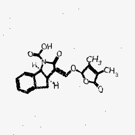 CC1=C(C)[C@H](OC=C2C(=O)N(C(=O)O)[C@@H]3c4ccccc4C[C@H]23)OC1=O